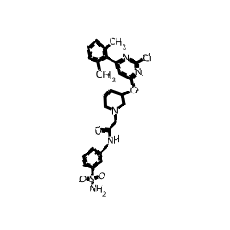 Cc1cccc(C)c1-c1cc(OC2CCCN(CC(=O)Nc3cccc(S(N)(=O)=O)c3)C2)nc(Cl)n1